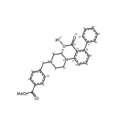 COC(=O)c1ccc(CN2CCN(c3nccc(-c4ccccc4)c3C(=O)OC(C)C)CC2)cc1